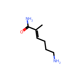 C/C(=C\CCCN)C(N)=O